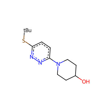 CC(C)(C)Sc1ccc(N2CCC(O)CC2)nn1